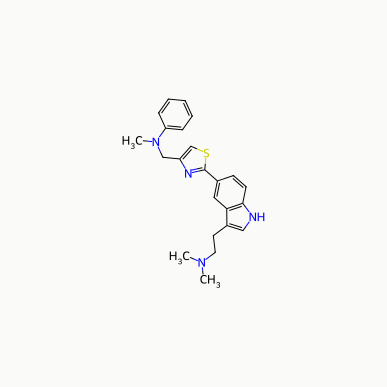 CN(C)CCc1c[nH]c2ccc(-c3nc(CN(C)c4ccccc4)cs3)cc12